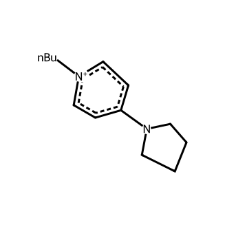 CCCC[n+]1ccc(N2CCCC2)cc1